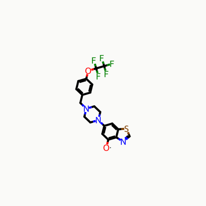 [O]c1cc(N2CCN(Cc3ccc(OC(F)(F)C(F)(F)F)cc3)CC2)cc2scnc12